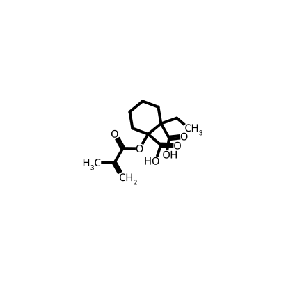 C=C(C)C(=O)OC1(C(=O)O)CCCCC1(CC)C(=O)O